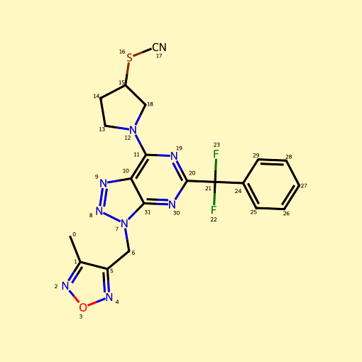 Cc1nonc1Cn1nnc2c(N3CCC(SC#N)C3)nc(C(F)(F)c3ccccc3)nc21